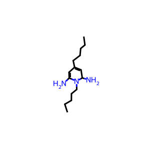 CCCCCC1=CC(N)N(CCCCC)C(N)=C1